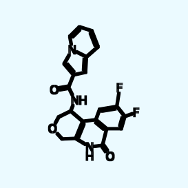 O=C(NC1COCc2[nH]c(=O)c3cc(F)c(F)cc3c21)c1cc2ccccn2c1